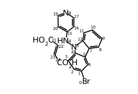 Brc1ccc2c(c1)c1ccccc1n2Nc1ccncc1.O=C(O)C=CC(=O)O